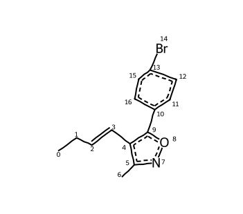 CC/C=C/c1c(C)noc1-c1ccc(Br)cc1